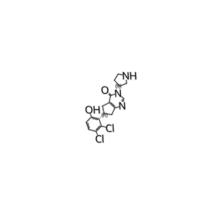 O=c1c2c(ncn1[C@@H]1CCNC1)C[C@H](c1c(O)ccc(Cl)c1Cl)C2